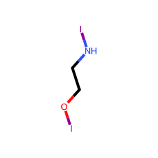 INCCOI